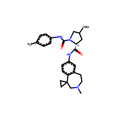 Bc1ccc(NC(=O)N2CC(OC)C[C@@H]2C(=O)Nc2ccc3c(c2)CCN(C)CC32CC2)cc1